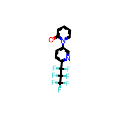 O=c1ccccn1-c1ccc(C(F)(F)C(F)(F)C(F)(F)F)nc1